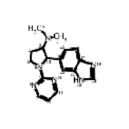 CN(C)C1CCN(c2ncccn2)C1c1ccc2nc[nH]c2c1